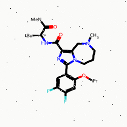 CNC(=O)[C@@H](NC(=O)c1nc(-c2cc(F)c(F)cc2OC(C)C)n2c1CN(C)CCC2)C(C)(C)C